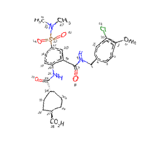 COc1ccc(CNC(=O)c2cc(S(=O)(=O)N(C)C)ccc2NC(=O)[C@H]2CC[C@H](C(=O)O)CC2)cc1Cl